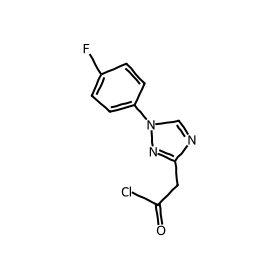 O=C(Cl)Cc1ncn(-c2ccc(F)cc2)n1